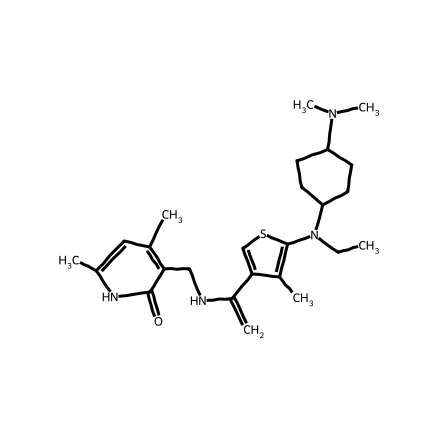 C=C(NCc1c(C)cc(C)[nH]c1=O)c1csc(N(CC)C2CCC(N(C)C)CC2)c1C